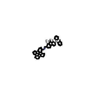 CCC1(CC)c2cc(/C=C/c3cccc4c3-c3ccccc3C4(c3ccccc3)c3ccccc3)ccc2-c2ccc(N(c3ccccc3)C3C=CC=CC3C)cc21